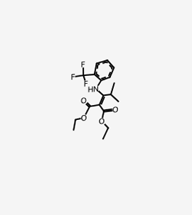 CCOC(=O)C(C(=O)OCC)=C(Nc1ccccc1C(F)(F)F)C(C)C